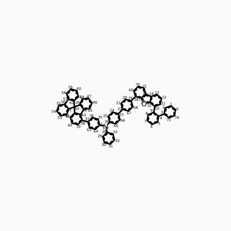 c1ccc(-c2ccccc2-c2cccc3c2oc2c(-c4ccc(-c5ccc(N(c6ccccc6)c6ccc(-c7cccc8c7-c7ccccc7C87c8ccccc8-c8ccccc87)cc6)cc5)cc4)cccc23)cc1